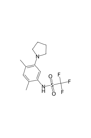 Cc1cc(C)c(N2CCCC2)cc1NS(=O)(=O)C(F)(F)F